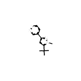 Cn1nc(-c2ccnnc2)cc1C(C)(C)C